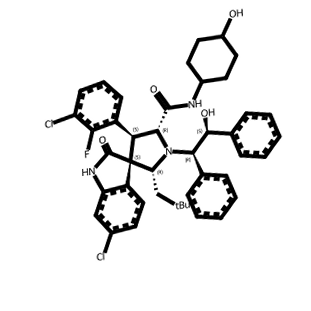 CC(C)(C)C[C@H]1N([C@H](c2ccccc2)[C@@H](O)c2ccccc2)[C@@H](C(=O)NC2CCC(O)CC2)[C@H](c2cccc(Cl)c2F)[C@@]12C(=O)Nc1cc(Cl)ccc12